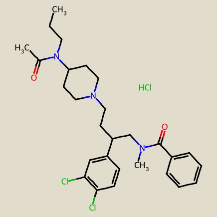 CCCN(C(C)=O)C1CCN(CCC(CN(C)C(=O)c2ccccc2)c2ccc(Cl)c(Cl)c2)CC1.Cl